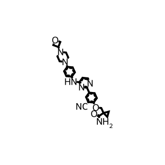 N#Cc1cc(-c2nccc(Nc3ccc(N4CCN(C5COC5)CC4)cc3)n2)ccc1OCC1(C(N)=O)CC1